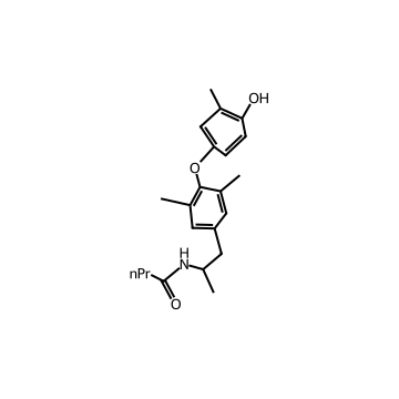 CCCC(=O)NC(C)Cc1cc(C)c(Oc2ccc(O)c(C)c2)c(C)c1